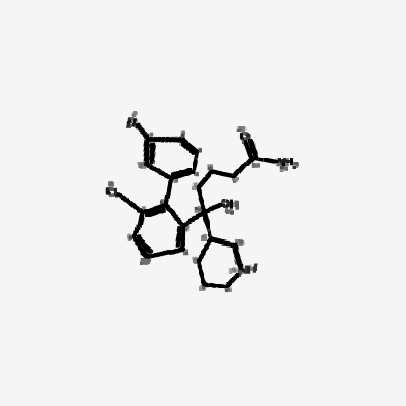 CCc1cccc(-c2c(Cl)cccc2C(O)(CCCC(N)=O)[C@@H]2CCCNC2)c1